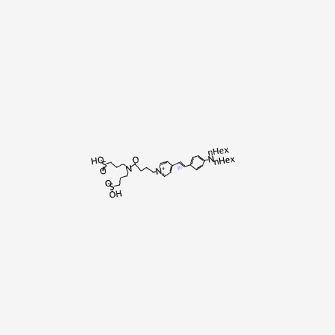 CCCCCCN(CCCCCC)c1ccc(/C=C/c2cc[n+](CCCC(=O)N(CCCS(=O)O)CCCS(=O)O)cc2)cc1